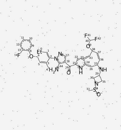 CC/C=C(\C(C)=C/COc1ccccc1F)n1ncc(C(=O)c2cc3/c([nH]2)=C\C(NC2CN([S+](C)[O-])C2)C=CC(OC(F)F)/C=3)c1N